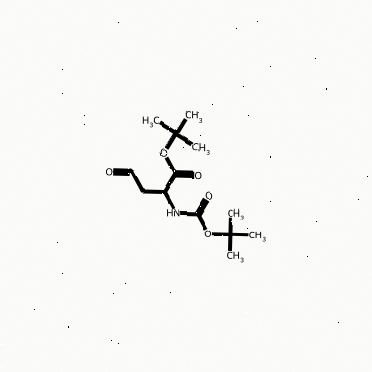 CC(C)(C)OC(=O)NC(C[C]=O)C(=O)OC(C)(C)C